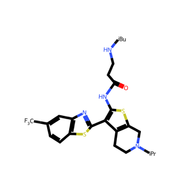 CCC(C)NCCC(=O)Nc1sc2c(c1-c1nc3cc(C(F)(F)F)ccc3s1)CCN(C(C)C)C2